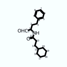 O=CC(CCc1ccccc1)NC(=O)CCC1CCCCC1